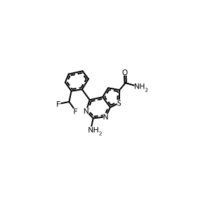 NC(=O)c1cc2c(-c3ccccc3C(F)F)nc(N)nc2s1